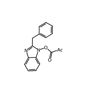 CC(=O)C(=O)On1c(Cc2ccccc2)nc2ccccc21